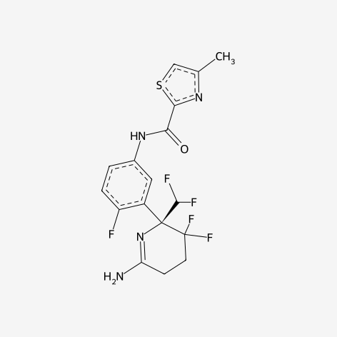 Cc1csc(C(=O)Nc2ccc(F)c([C@@]3(C(F)F)N=C(N)CCC3(F)F)c2)n1